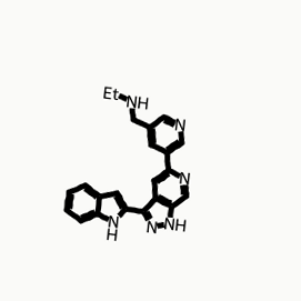 CCNCc1cncc(-c2cc3c(-c4cc5ccccc5[nH]4)n[nH]c3cn2)c1